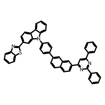 c1ccc(-c2cc(-c3ccc4ccc(-c5ccc(-n6c7ccccc7c7ccc(-c8nc9ccccc9s8)cc76)cc5)cc4c3)nc(-c3ccccc3)n2)cc1